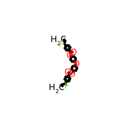 C=CC(F)c1ccc(C(=O)OC2CCC(OC3CCC(OC(=O)c4ccc(C(F)C=C)cc4)CC3)CC2)cc1